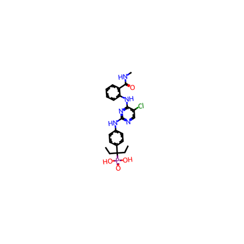 CCC(CC)(c1ccc(Nc2ncc(Cl)c(Nc3ccccc3C(=O)NC)n2)cc1)P(=O)(O)O